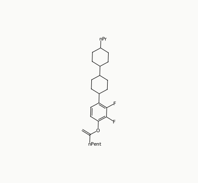 C=C(CCCCC)Oc1ccc(C2CCC(C3CCC(CCC)CC3)CC2)c(F)c1F